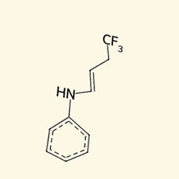 FC(F)(F)CC=CNc1ccccc1